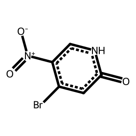 O=c1cc(Br)c([N+](=O)[O-])c[nH]1